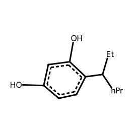 CCCC(CC)c1ccc(O)cc1O